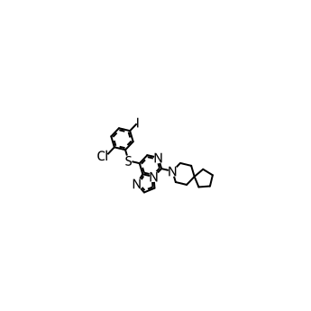 Clc1ccc(I)cc1Sc1cnc(N2CCC3(CCCC3)CC2)n2ccnc12